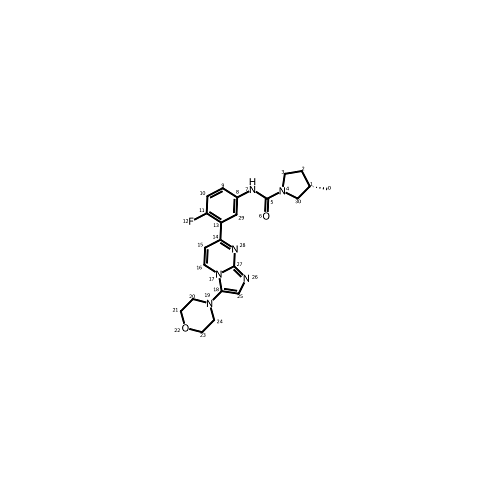 C[C@H]1CCN(C(=O)Nc2ccc(F)c(-c3ccn4c(N5CCOCC5)cnc4n3)c2)C1